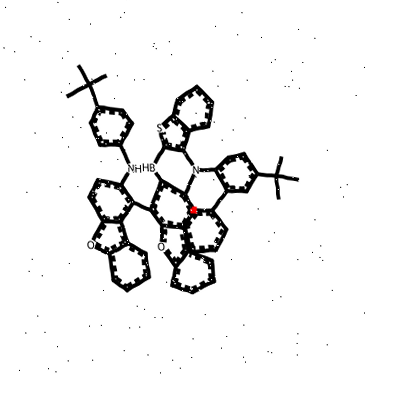 CC(C)(C)c1ccc(Nc2ccc3oc4ccccc4c3c2-c2c3c(cc4c2oc2ccccc24)N(c2ccc(C(C)(C)C)cc2-c2ccccc2)c2c(sc4ccccc24)B3)cc1